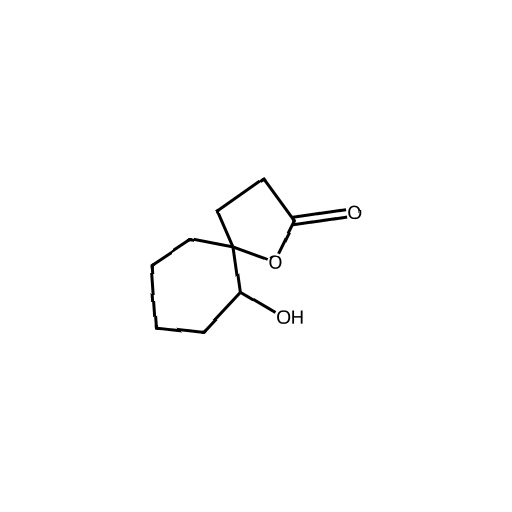 O=C1CCC2(CCCCC2O)O1